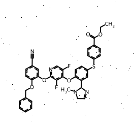 CCOC(=O)c1ccc(Sc2ccc(Oc3c(F)cnc(Oc4cc(C#N)ccc4OCc4ccccc4)c3F)c(C3N=CCN3C)c2)cc1